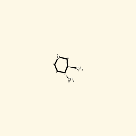 C[C@@H]1CCOC[C@H]1C